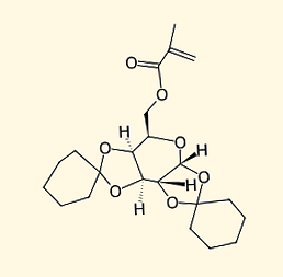 C=C(C)C(=O)OC[C@H]1O[C@@H]2OC3(CCCCC3)O[C@@H]2[C@H]2OC3(CCCCC3)O[C@H]21